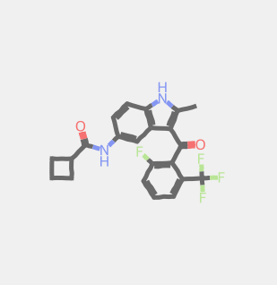 Cc1[nH]c2ccc(NC(=O)C3CCC3)cc2c1C(=O)c1c(F)cccc1C(F)(F)F